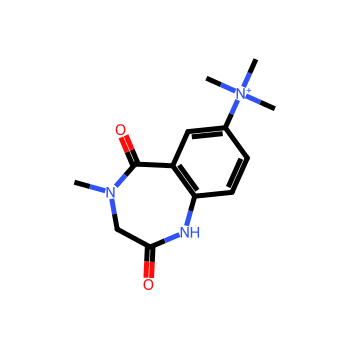 CN1CC(=O)Nc2ccc([N+](C)(C)C)cc2C1=O